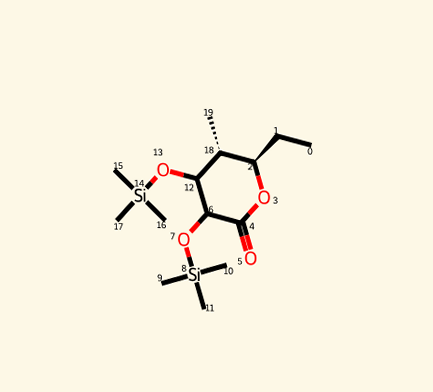 CC[C@H]1OC(=O)C(O[Si](C)(C)C)C(O[Si](C)(C)C)[C@@H]1C